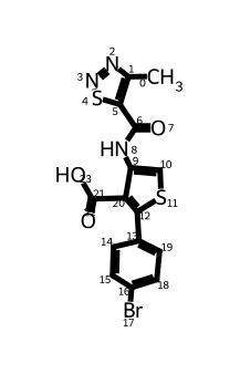 Cc1nnsc1C(=O)Nc1csc(-c2ccc(Br)cc2)c1C(=O)O